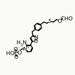 Nc1c(-c2cc(Cc3ccc(CCSCCOC=O)cc3)no2)ccc[n+]1COP(=O)([O-])O